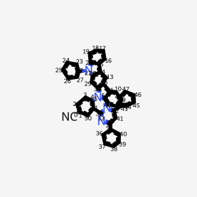 N#Cc1ccc(-n2c3ccccc3c3cc4c5ccccc5n(-c5ccccc5)c4cc32)c(-c2nc(-c3ccccc3)cc(-c3ccccc3)n2)c1